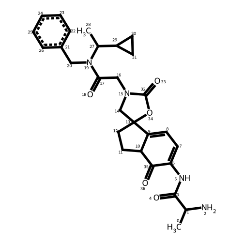 CC(N)C(=O)NC1=CC=C2C(CCC23CN(CC(=O)N(Cc2ccccc2)C(C)C2CC2)C(=O)O3)C1=O